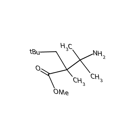 COC(=O)C(C)(CC(C)(C)C)C(C)(C)N